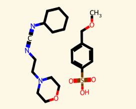 C(=NCCN1CCOCC1)=NC1CCCCC1.COCc1ccc(S(=O)(=O)O)cc1